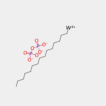 CCCCCCCCCCCCCC[CH2][W+4].O=P([O-])([O-])OP(=O)([O-])[O-]